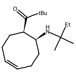 CCC(C)(C)N[C@H]1CC/C=C\CC[C@H]1C(=O)C(C)(C)C